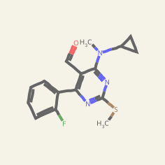 CSc1nc(-c2ccccc2F)c(C=O)c(N(C)C2CC2)n1